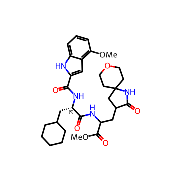 COC(=O)C(CC1CC2(CCOCC2)NC1=O)NC(=O)[C@H](CC1CCCCC1)NC(=O)c1cc2c(OC)cccc2[nH]1